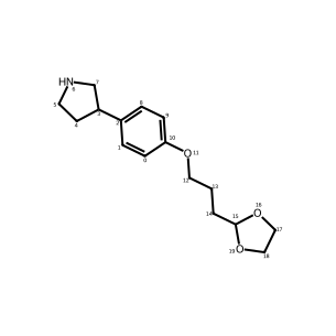 c1cc(C2CCNC2)ccc1OCCCC1OCCO1